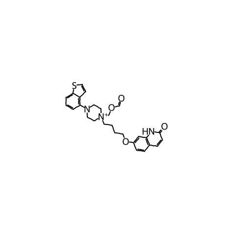 O=COC[N+]1(CCCCOc2ccc3ccc(=O)[nH]c3c2)CCN(c2cccc3sccc23)CC1